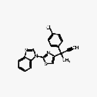 C#CC(C)(c1ccc(Cl)cc1)c1csc(-n2cnc3ccccc32)n1